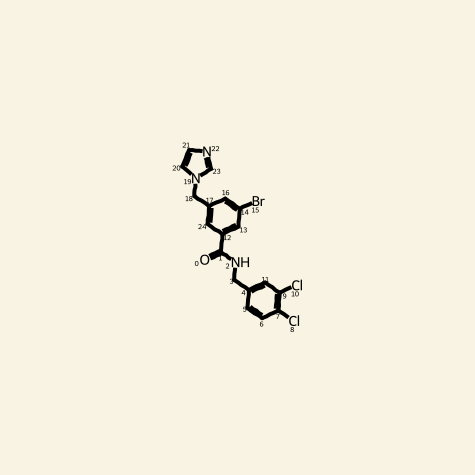 O=C(NCc1ccc(Cl)c(Cl)c1)c1cc(Br)cc(Cn2ccnc2)c1